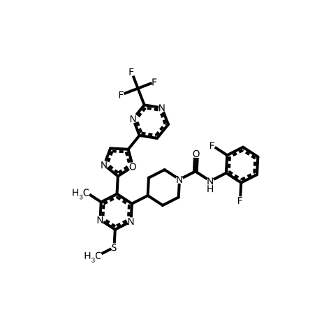 CSc1nc(C)c(-c2ncc(-c3ccnc(C(F)(F)F)n3)o2)c(C2CCN(C(=O)Nc3c(F)cccc3F)CC2)n1